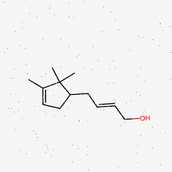 CC1=CCC(CC=CCO)C1(C)C